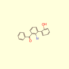 [N]c1c(C(=O)c2ccccc2)cccc1-c1ccccc1O